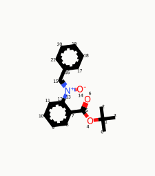 CC(C)(C)OC(=O)c1ccccc1[N+]([O-])=Cc1ccccc1